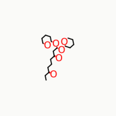 CCC(=O)CCCC(=O)CC(OC1CCCCO1)OC1CCCCO1